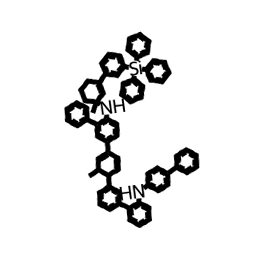 CC1C=C(c2ccc(NC3(C)C=C(c4cccc([Si](c5ccccc5)(c5ccccc5)c5ccccc5)c4)CCC3)c(-c3ccccc3)c2)C=CC1c1cccc(-c2ccccc2Nc2ccc(-c3ccccc3)cc2)c1